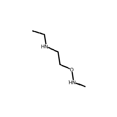 CCNCCONC